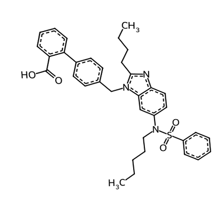 CCCCCN(c1ccc2nc(CCCC)n(Cc3ccc(-c4ccccc4C(=O)O)cc3)c2c1)S(=O)(=O)c1ccccc1